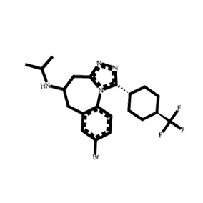 CC(C)NC1Cc2cc(Br)ccc2-n2c(nnc2[C@H]2CC[C@H](C(F)(F)F)CC2)C1